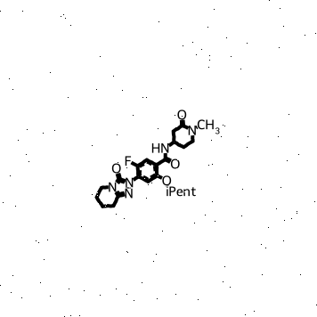 CCCC(C)Oc1cc(-n2nc3n(c2=O)CCCC3)c(F)cc1C(=O)NC1CCN(C)C(=O)C1